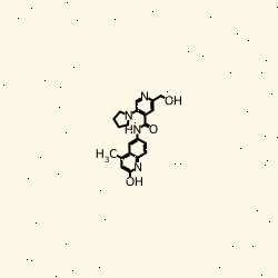 Cc1cc(O)nc2ccc(NC(=O)c3cc(CO)ncc3N3CCCC3)cc12